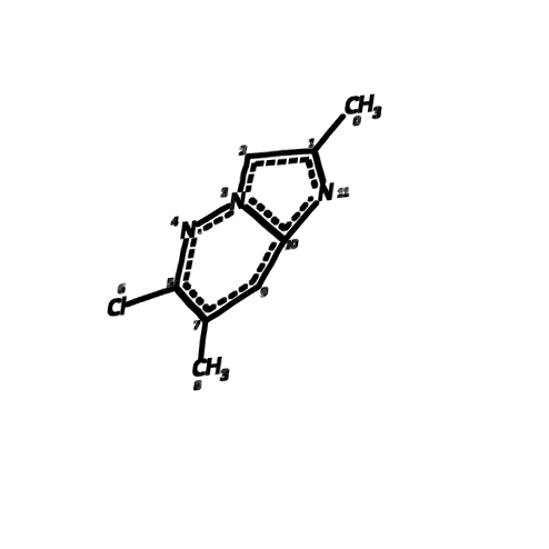 Cc1cn2nc(Cl)c(C)cc2n1